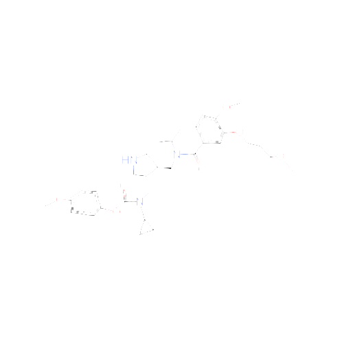 COCCCOc1cc(C(=O)N(C[C@@H]2CNC[C@H]2CN(C(=O)Oc2ccc(OC)cc2)C2CC2)C(C)C)ccc1OC